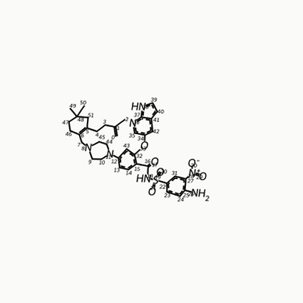 C=C(C)CCC1=C(CN2CCN(c3ccc(C(=O)NS(=O)(=O)c4ccc(N)c([N+](=O)[O-])c4)c(Oc4cnc5[nH]ccc5c4)c3)CC2)CCC(C)(C)C1